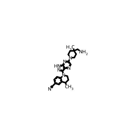 CC1CCN(c2n[nH]c3nc(N4CCC(C)(CN)CC4)cnc23)c2ccc(C#N)cc21